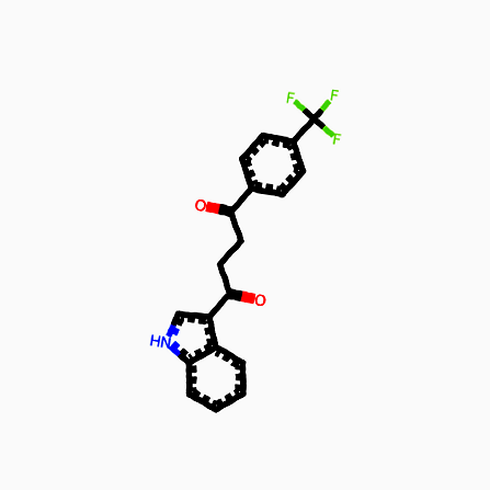 O=C(CCC(=O)c1c[nH]c2ccccc12)c1ccc(C(F)(F)F)cc1